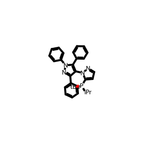 CC(C)P(c1ccnn1-c1c(-c2ccccc2)nn(-c2ccccc2)c1-c1ccccc1)C(C)(C)C